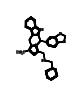 CCOC(=O)c1cc(CNCc2ccccc2)n2c1Cc1c([nH]c3ccccc13)C2c1ccc2c(c1)OCO2